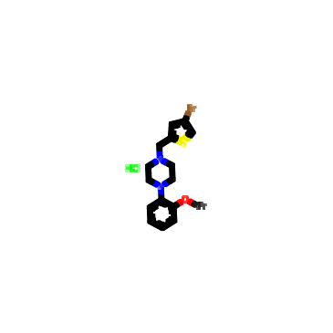 CC(C)Oc1ccccc1N1CCN(Cc2cc(Br)cs2)CC1.Cl